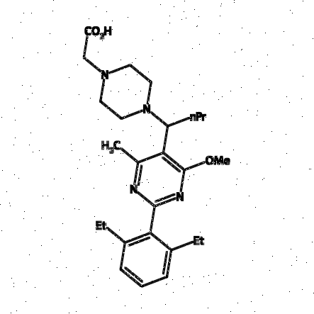 CCCC(c1c(C)nc(-c2c(CC)cccc2CC)nc1OC)N1CCN(CC(=O)O)CC1